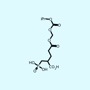 CC(C)OC(=O)OCOC(=O)CCC(CP(=O)(O)O)C(=O)O